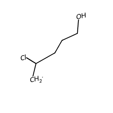 [CH2]C(Cl)CCCO